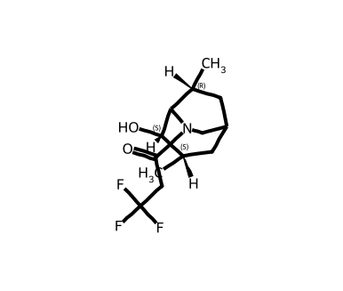 C[C@@H]1CC2C[C@H](C)[C@H](O)C1N(C(=O)CC(F)(F)F)C2